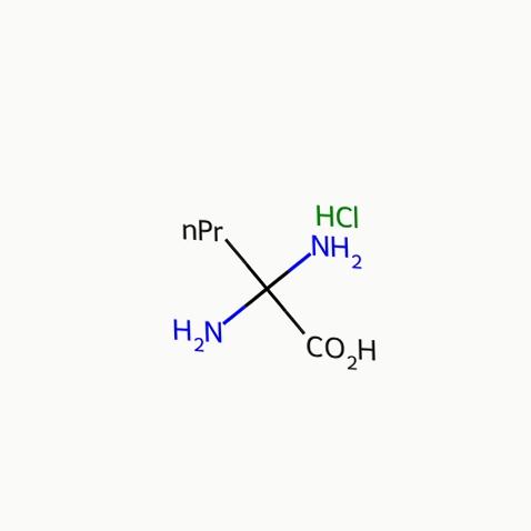 CCCC(N)(N)C(=O)O.Cl